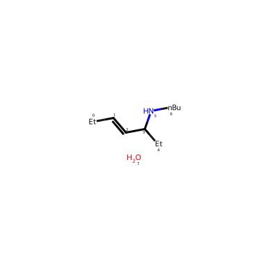 CCC=CC(CC)NCCCC.O